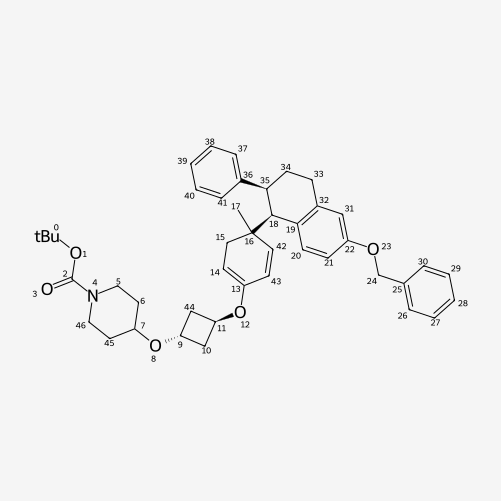 CC(C)(C)OC(=O)N1CCC(O[C@H]2C[C@H](OC3=CCC(C)([C@@H]4c5ccc(OCc6ccccc6)cc5CC[C@@H]4c4ccccc4)C=C3)C2)CC1